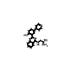 CC[C@H](N)CNc1nc(-c2cc(-c3ccncc3)ccc2O)nc2ccccc12